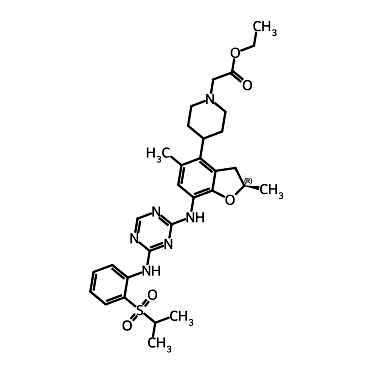 CCOC(=O)CN1CCC(c2c(C)cc(Nc3ncnc(Nc4ccccc4S(=O)(=O)C(C)C)n3)c3c2C[C@@H](C)O3)CC1